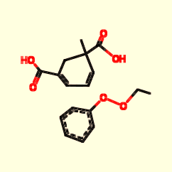 CC1(C(=O)O)C=CC=C(C(=O)O)C1.CCOOc1ccccc1